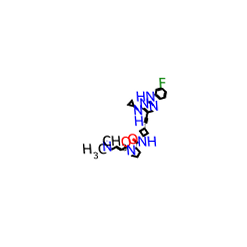 CN(C)C/C=C/C(=O)N1CCC[C@H]1C(=O)N[C@H]1C[C@@H](C#Cc2cnc(Nc3cccc(F)c3)nc2NC2CC2)C1